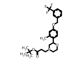 Cc1cc(OCc2cccc(C(F)(F)F)c2)ccc1C1CN(CCC(=O)OC(C)(C)C)CCO1